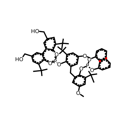 COc1cc(Cc2cc(OC)cc(C(C)(C)C)c2Op2oc3c(C(C)(C)C)cc(CO)cc3c3cc(CO)cc(C(C)(C)C)c3o2)c(OP(Oc2ccccc2)Oc2ccccc2)c(C(C)(C)C)c1